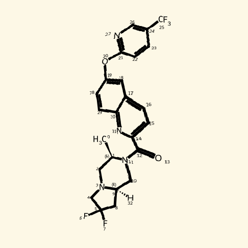 C[C@@H]1CN2CC(F)(F)C[C@@H]2CN1C(=O)c1ccc2cc(Oc3ccc(C(F)(F)F)cn3)ccc2n1